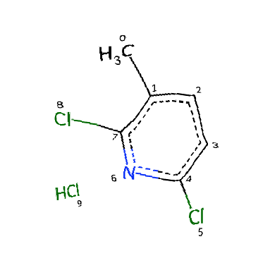 Cc1ccc(Cl)nc1Cl.Cl